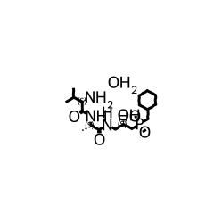 CC(C)[C@H](N)C(=O)N[C@@H](C)C(=O)NC[C@H](O)CP(=O)(O)CC1CCCCC1.O